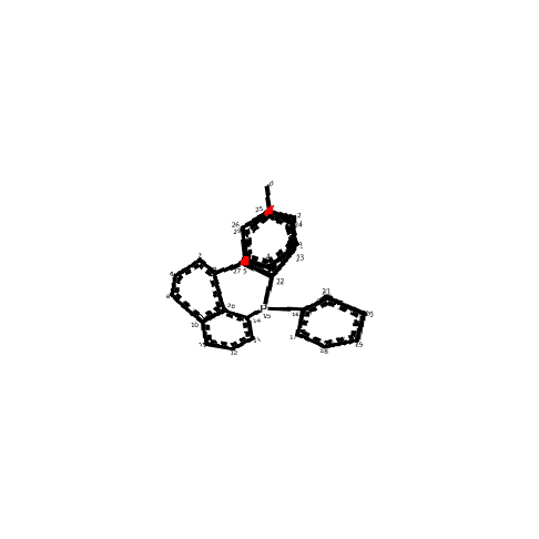 Cc1cccc(-c2cccc3cccc(P(c4ccccc4)c4ccccc4)c23)n1